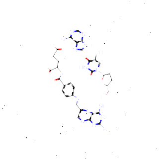 Cc1cn([C@H]2C[C@H](O)[C@@H](CO)O2)c(=O)[nH]c1=O.Nc1nc(N)c2nc(CNc3ccc(C(=O)NC(CCC(=O)O)C(=O)O)cc3)cnc2n1.Nc1ncnc2[nH]cnc12